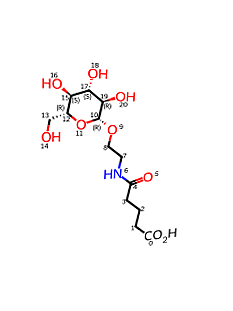 O=C(O)CCCC(=O)NCCO[C@@H]1O[C@H](CO)[C@@H](O)[C@H](O)[C@H]1O